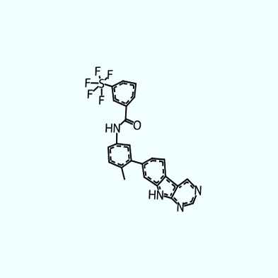 Cc1ccc(NC(=O)c2cccc(S(F)(F)(F)(F)F)c2)cc1-c1ccc2c(c1)[nH]c1ncncc12